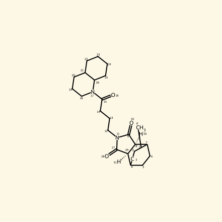 CC1CCC2CCC1[C@@H]1C(=O)N(CCCC(=O)N3CCCC4CCCCC43)C(=O)[C@H]21